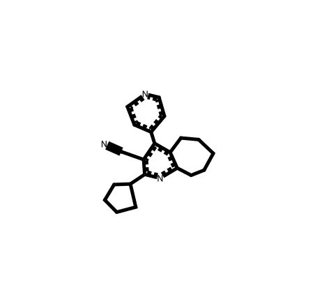 N#Cc1c(C2CCCC2)nc2c(c1-c1ccncc1)CCCCC2